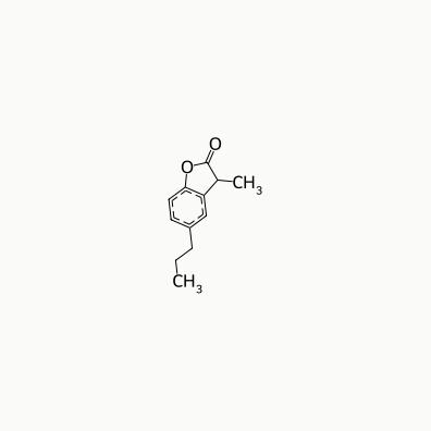 CCCc1ccc2c(c1)C(C)C(=O)O2